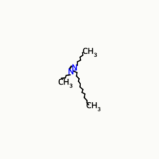 CCCCCCCCCCCCCc1n(CCCCCCC)cc[n+]1CCCCC